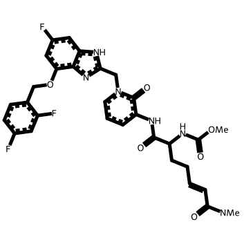 CNC(=O)C=CCCC(NC(=O)OC)C(=O)Nc1cccn(Cc2nc3c(OCc4ccc(F)cc4F)cc(F)cc3[nH]2)c1=O